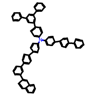 c1ccc(-c2ccc(-c3ccc(N(c4ccc(-c5ccc(-c6cccc(-c7ccc8ccccc8c7)c6)cc5)cc4)c4ccc(-c5cc(-c6ccccc6)cc(-c6ccccc6)c5)cc4)cc3)cc2)cc1